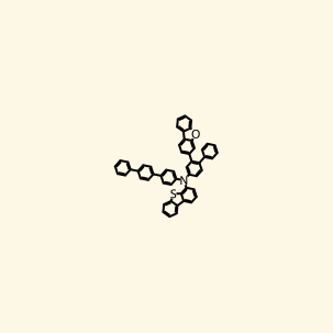 c1ccc(-c2ccc(-c3ccc(N(c4ccc(-c5ccccc5)c(-c5ccc6c(c5)oc5ccccc56)c4)c4cccc5c4sc4ccccc45)cc3)cc2)cc1